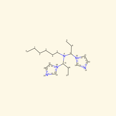 CCCCCCN(C(CC)n1ccnc1)C(CC)n1ccnc1